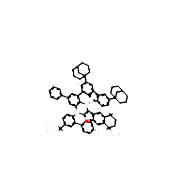 CC(C)(C)c1ccc(N2c3cc(-c4ccccc4)cc4c3B(c3c2oc2cc5c(cc32)C(C)(C)CCC5(C)C)n2c3ccc(C56CCCC(CCC5)C6)cc3c3cc(C56CCCC(CCC5)C6)cc-4c32)c(-c2ccccc2)c1